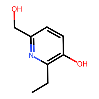 CCc1nc(CO)ccc1O